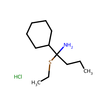 CCCC(N)(SCC)C1CCCCC1.Cl